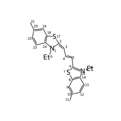 CCN1/C(=C\C=C\c2sc3cc(C)ccc3[n+]2CC)Sc2cc(C)ccc21